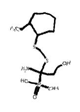 CC1CCCCC1SSC(N)(CO)P(=O)(O)O